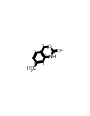 Cc1ccc2c(c1)NC(=O)OC2